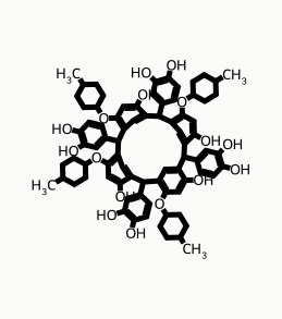 CC1CCC(Oc2cc(O)c3cc2C(c2ccc(O)c(O)c2)c2cc(c(OC4CCC(C)CC4)cc2O)C(c2ccc(O)c(O)c2)c2cc(c(O)cc2OC2CCC(C)CC2)C(c2ccc(O)c(O)c2)c2cc(c(O)cc2OC2CCC(C)CC2)C3c2ccc(O)c(O)c2)CC1